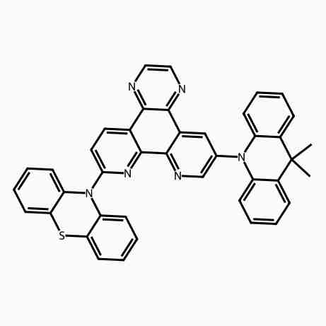 CC1(C)c2ccccc2N(c2cnc3c(c2)c2nccnc2c2ccc(N4c5ccccc5Sc5ccccc54)nc23)c2ccccc21